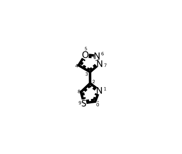 [c]1nc(-c2conn2)cs1